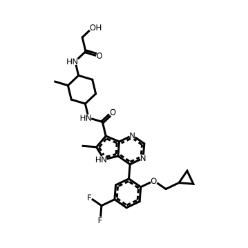 Cc1[nH]c2c(-c3cc(C(F)F)ccc3OCC3CC3)ncnc2c1C(=O)NC1CCC(NC(=O)CO)C(C)C1